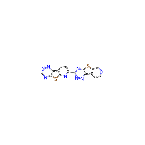 c1cc2c(cn1)sc1nc(-c3ccc4c(n3)sc3ncnnc34)nnc12